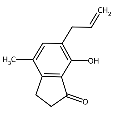 C=CCc1cc(C)c2c(c1O)C(=O)CC2